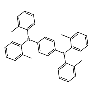 Cc1ccccc1N(c1ccc(N(c2ccccc2C)c2ccccc2C)cc1)c1ccccc1C